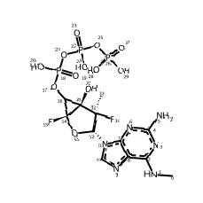 CNc1nc(N)nc2c1ncn2[C@@H]1O[C@]2(F)C(OP(=O)(O)OP(=O)(O)OP(=O)(O)O)[C@]2(O)[C@@]1(C)F